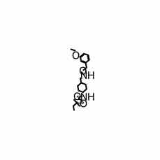 CCOc1cccc(CONCC2CCC(NS(=O)(=O)C(C)(C)CC)CC2)c1